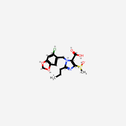 CCCc1nc([S+](C)[O-])c(C(=O)O)n1Cc1cc2c(cc1Cl)OCO2